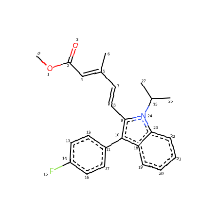 COC(=O)C=C(C)C=Cc1c(-c2ccc(F)cc2)c2ccccc2n1C(C)C